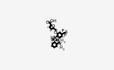 CC(C)c1ccccc1S(=O)(=O)Nc1ccc(C(F)(F)F)cc1OCc1ccc(C(=O)O)o1